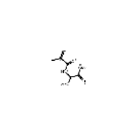 C=C(C)C(=O)NC(OC)C(=O)OC